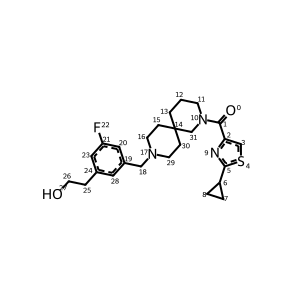 O=C(c1csc(C2CC2)n1)N1CCCC2(CCN(Cc3cc(F)cc(CCO)c3)CC2)C1